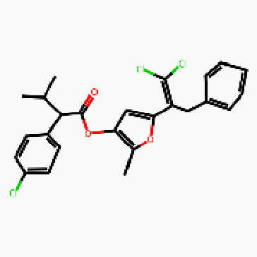 Cc1oc(C(Cc2ccccc2)=C(Cl)Cl)cc1OC(=O)C(c1ccc(Cl)cc1)C(C)C